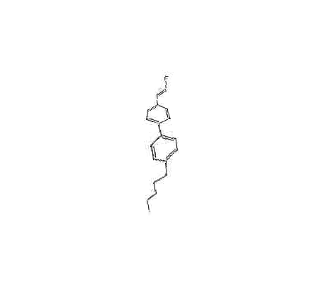 CCCCCc1ccc(-c2ccc(/C=C/F)cc2)cc1